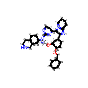 COc1cc(-c2nc3ccccn3c2-c2ccnc(Nc3ccc4c(c3)CNCC4)n2)ccc1OCc1ccccc1